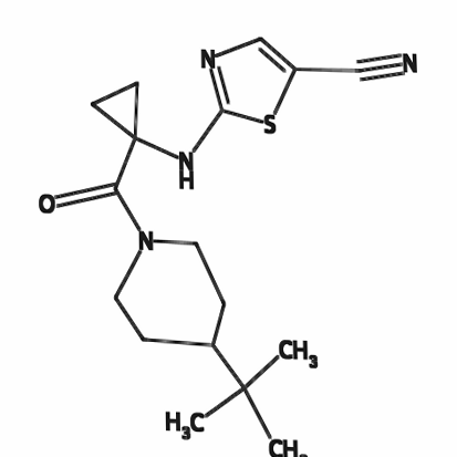 CC(C)(C)C1CCN(C(=O)C2(Nc3ncc(C#N)s3)CC2)CC1